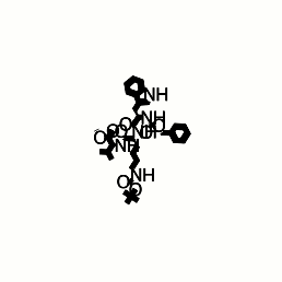 COC(=O)[C@@H](NC(=O)[C@H](CCCCNC(=O)OC(C)(C)C)NC(=O)[C@@H](Cc1c[nH]c2ccccc12)NC(=O)OCc1ccccc1)C(C)C